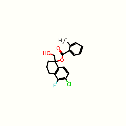 Cc1ccccc1C(=O)OC1(CO)CCCc2c1ccc(Cl)c2F